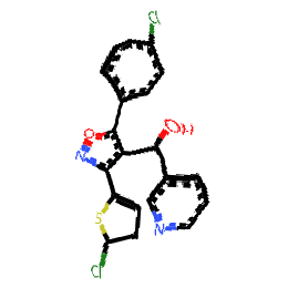 OC(c1cccnc1)c1c(C2=CCC(Cl)S2)noc1-c1ccc(Cl)cc1